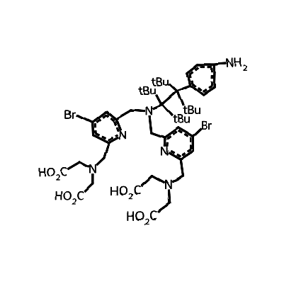 CC(C)(C)C(c1ccc(N)cc1)(C(C)(C)C)C(N(Cc1cc(Br)cc(CN(CC(=O)O)CC(=O)O)n1)Cc1cc(Br)cc(CN(CC(=O)O)CC(=O)O)n1)(C(C)(C)C)C(C)(C)C